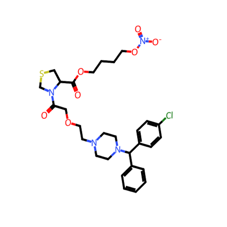 O=C(OCCCCO[N+](=O)[O-])C1CSCN1C(=O)COCCN1CCN(C(c2ccccc2)c2ccc(Cl)cc2)CC1